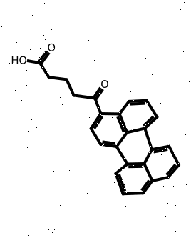 O=C(O)CCCC(=O)c1ccc2c3cccc4cccc(c5cccc1c52)c43